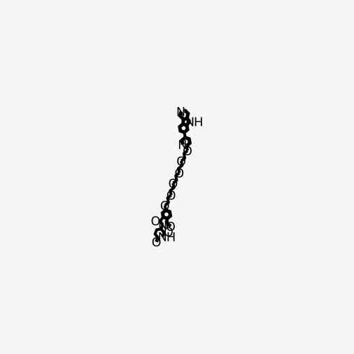 O=C1CCC(N2C(=O)c3ccc(OCCOCCOCCOCCOCCOc4ccc(-c5ccc6c(c5)[nH]c5ccncc56)cn4)cc3C2=O)C(=O)N1